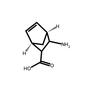 NC1C(C(=O)O)[C@H]2C=C[C@@H]1C2